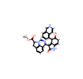 CC(C)(C)OC(=O)C1Cc2cccc3c2N1C=NC3C1=C2C(=CCC(=O)C2c2cccc3cnccc23)NC1=O